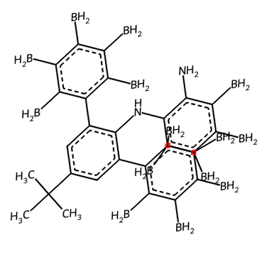 Bc1c(B)c(B)c(-c2cc(C(C)(C)C)cc(-c3c(B)c(B)c(B)c(B)c3B)c2Nc2c(B)c(B)c(B)c(B)c2N)c(B)c1B